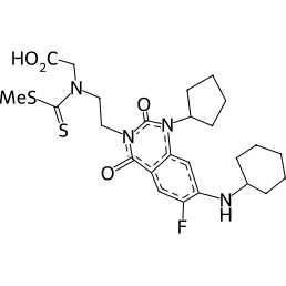 CSC(=S)N(CCn1c(=O)c2cc(F)c(NC3CCCCC3)cc2n(C2CCCC2)c1=O)CC(=O)O